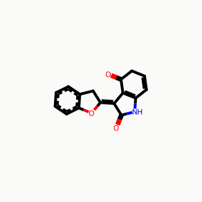 O=C1CC=CC2=C1C(=C1Cc3ccccc3O1)C(=O)N2